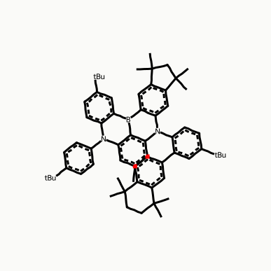 Cc1cc2c3c(c1)N(c1ccc(C(C)(C)C)cc1-c1ccc4c(c1)C(C)(C)CCC4(C)C)c1cc4c(cc1B3c1cc(C(C)(C)C)ccc1N2c1ccc(C(C)(C)C)cc1)C(C)(C)CC4(C)C